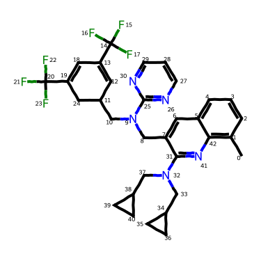 Cc1cccc2cc(CN(CC3C=C(C(F)(F)F)C=C(C(F)(F)F)C3)c3ncccn3)c(N(CC3CC3)CC3CC3)nc12